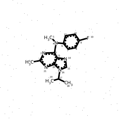 Cc1nc(N(C)c2ccc(F)cc2)c2ncn(C(C)C)c2n1